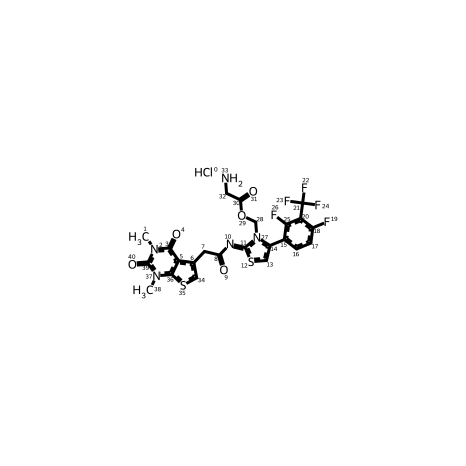 Cl.Cn1c(=O)c2c(CC(=O)/N=c3\scc(-c4ccc(F)c(C(F)(F)F)c4F)n3COC(=O)CN)csc2n(C)c1=O